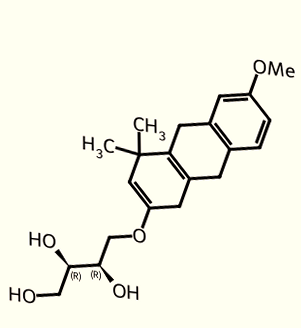 COc1ccc2c(c1)CC1=C(CC(OC[C@@H](O)[C@H](O)CO)=CC1(C)C)C2